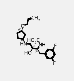 C=CCO[C@@H]1CC[C@H](NC[C@H](O)[C@H](Cc2cc(F)cc(F)c2)NC(=O)O)C1